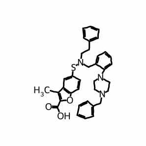 Cc1c(C(=O)O)oc2ccc(SN(CCc3ccccc3)Cc3ccccc3N3CCN(Cc4ccccc4)CC3)cc12